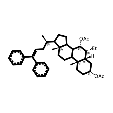 CC[C@H]1[C@@H](OC(C)=O)C2C3CCC([C@H](C)CC=C(c4ccccc4)c4ccccc4)[C@@]3(C)CCC2[C@@]2(C)CC[C@@H](OC(C)=O)C[C@@H]12